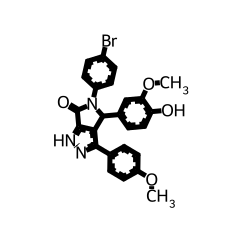 COc1ccc(-c2n[nH]c3c2C(c2ccc(O)c(OC)c2)N(c2ccc(Br)cc2)C3=O)cc1